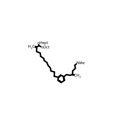 C=C(CCCNC)CCc1cccc(CCCCCCCCCCCC(=C)C(CCCCCCC)CCCCCCCC)c1